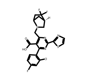 O=C(O)c1c(CN2C[C@H]3CC2CC3(F)F)nc(-c2nccs2)nc1-c1ccc(F)cc1Cl